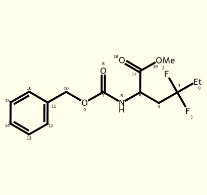 CCC(F)(F)CC(NC(=O)OCc1ccccc1)C(=O)OC